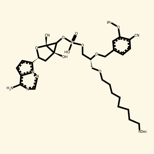 CCCCCCCCCCCCCCCCCCOC[C@H](COP(=O)(O)OC1[C@]2(O)C[C@H](c3ccc4c(N)ncnn34)O[C@]12C#N)OCc1ccc(C#N)c(OC(C)C)c1